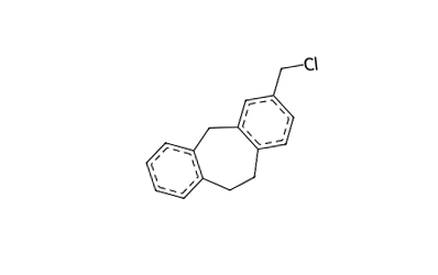 ClCc1ccc2c(c1)Cc1ccccc1CC2